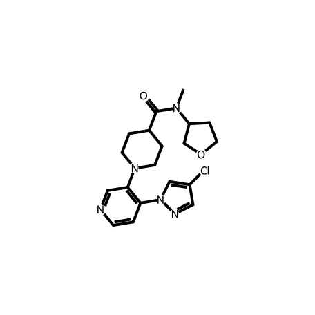 CN(C(=O)C1CCN(c2cnccc2-n2cc(Cl)cn2)CC1)C1CCOC1